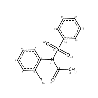 CC(=O)N(c1ccccc1I)S(=O)(=O)c1ccccc1